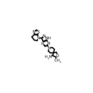 C[C@@H]1OCC2(CCN(c3cnc4c(N5CCCc6ncsc65)n[nH]c4n3)CC2)[C@@H]1N